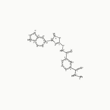 CC(C)NC(=O)c1cccc(C(=O)NCC2=CN(c3ccc4[nH]cnc4c3)NC2)n1